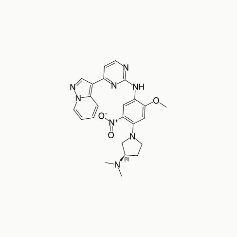 COc1cc(N2CC[C@@H](N(C)C)C2)c([N+](=O)[O-])cc1Nc1nccc(-c2cnn3ccccc23)n1